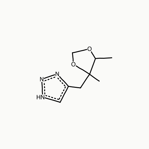 CC1OCOC1(C)Cc1c[nH]nn1